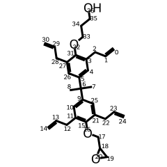 C=CCc1cc(C(C)(C)c2cc(CC=C)c(OCC3CO3)c(CC=C)c2)cc(CC=C)c1OCCCO